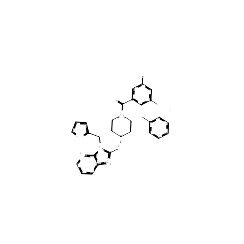 O=C(c1cc(C(F)(F)F)cc(C(F)(F)F)c1)N1CC[C@H](Nc2nc3cccnc3n2Cc2ccco2)C[C@H]1Cc1ccccc1